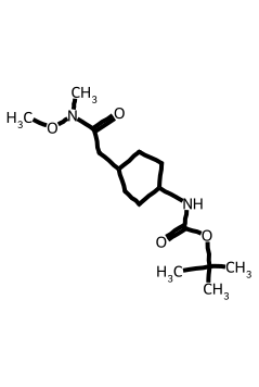 CON(C)C(=O)CC1CCC(NC(=O)OC(C)(C)C)CC1